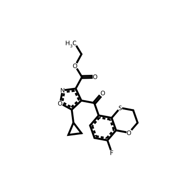 CCOC(=O)c1noc(C2CC2)c1C(=O)c1ccc(F)c2c1SCCO2